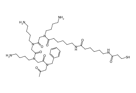 CC(=O)CN(Cc1ccccc1)C(=O)CN(CCCCN)C(=O)CN(CCCCN)C(=O)CN(CCCCN)C(=O)CCCCCNC(=O)CCCCCNC(=O)CCS